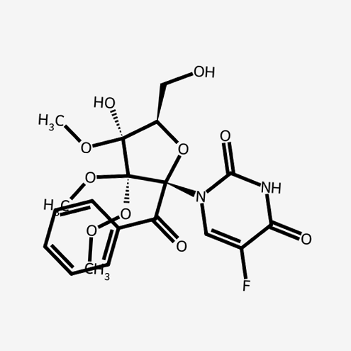 COO[C@]1(OC)[C@@](O)(OC)[C@@H](CO)O[C@@]1(C(=O)c1ccccc1)n1cc(F)c(=O)[nH]c1=O